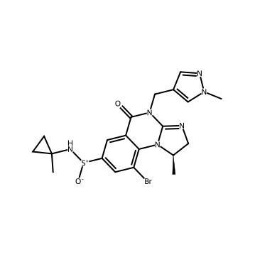 C[C@@H]1CN=C2N(Cc3cnn(C)c3)C(=O)c3cc([S+]([O-])NC4(C)CC4)cc(Br)c3N21